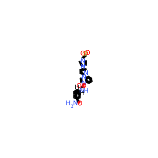 CS(=O)(=O)CCN1CCN(c2ccc(N3CCN(OC(=O)NC4[C@@H]5CC6C[C@H]4CC(C(N)=O)(C6)C5)c4ccccc43)nc2)CC1